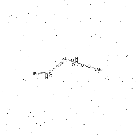 CCC(C)C#CCNC(=O)OCCCCOCSSC(C)(C)CCOC(=O)NCCOCCOCCNC